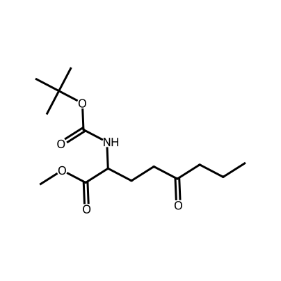 CCCC(=O)CCC(NC(=O)OC(C)(C)C)C(=O)OC